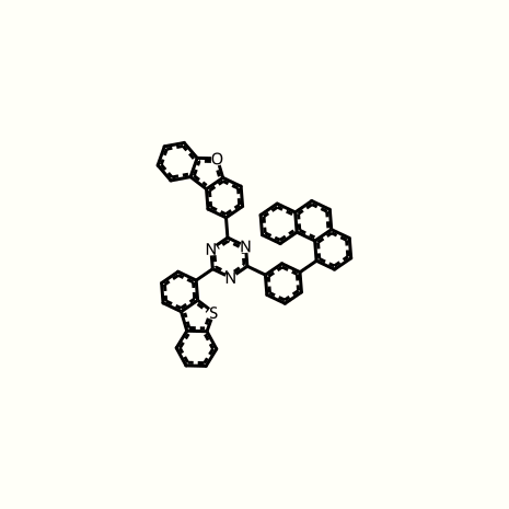 c1cc(-c2nc(-c3ccc4oc5ccccc5c4c3)nc(-c3cccc4c3sc3ccccc34)n2)cc(-c2cccc3ccc4ccccc4c23)c1